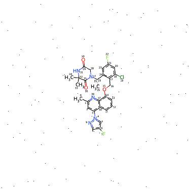 Cc1cc(-n2cc(F)cn2)c2cccc(OCc3c(Cl)cc(F)cc3[C@H](C)N3CC(=O)NC(C)(C)C3=O)c2n1